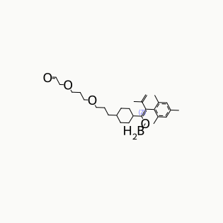 BO/C(=C(/C(=C)C)c1c(C)cc(C)cc1C)C1CCC(CCCOCCCOCC=O)CC1